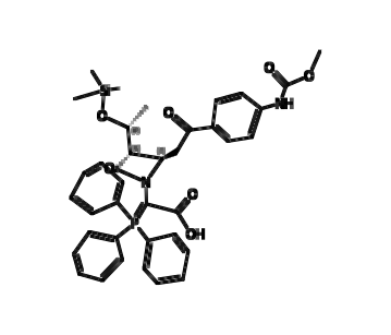 COC(=O)Nc1ccc(C(=O)C[C@@H]2[C@@H]([C@@H](C)O[Si](C)(C)C)C(=O)N2C(C(=O)O)=P(c2ccccc2)(c2ccccc2)c2ccccc2)cc1